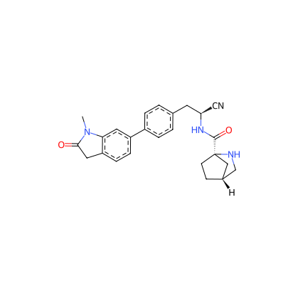 CN1C(=O)Cc2ccc(-c3ccc(C[C@@H](C#N)NC(=O)[C@]45CC[C@@H](CN4)C5)cc3)cc21